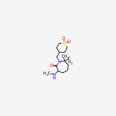 CNC1CCCC(C)(C)N(CC2CCS(=O)(=O)CC2)C1=O